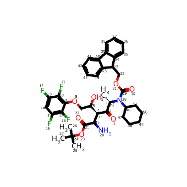 C[C@@H](C(=O)[C@H](C(O)COc1c(F)c(F)cc(F)c1F)C(N)C(=O)OC(C)(C)C)N(C(=O)OCC1c2ccccc2-c2ccccc21)C1CCCCC1